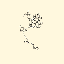 C=C/C=C\C=C(\F)CCn1nc(-c2nc(NCC(F)(F)F)c3c(n2)NC(=O)C3(C)C)c2cc(F)cnc21